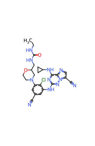 CCNC(=O)NCC1CN(c2cc(C#N)cc(Nc3nc(NC4CC4)c4ncc(C#N)n4n3)c2Cl)CCO1